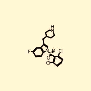 O=S(=O)(c1c(Cl)cccc1Cl)n1cc(CC2CCNCC2)c2cc(F)ccc21